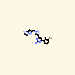 Cc1c(C#N)cccc1-c1cc(-c2cn(Cc3cc4n(n3)CCN4)nn2)nc(N)n1